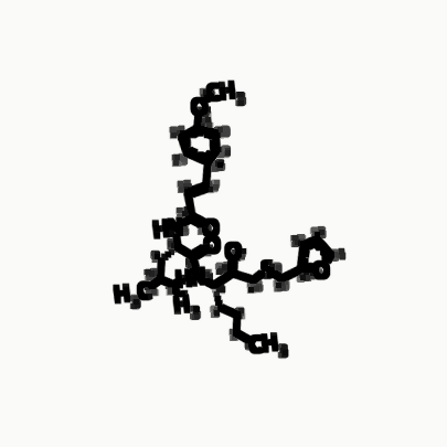 CCCC[C@H](NC(=O)[C@H](CC(C)C)NC(=O)/C=C/c1ccc(OC)cc1)C(=O)CSCc1ccco1